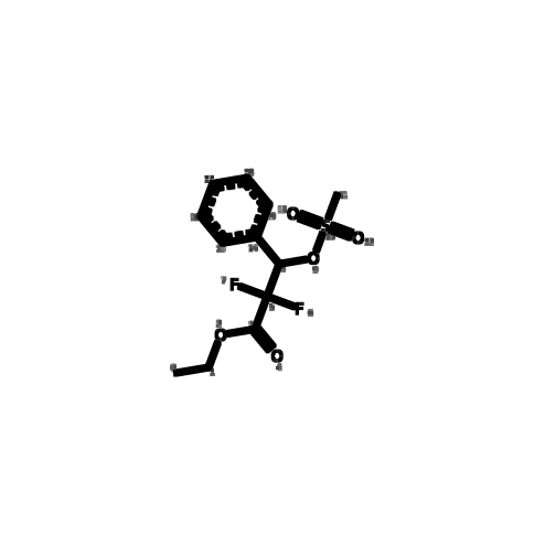 CCOC(=O)C(F)(F)C(OS(C)(=O)=O)c1ccccc1